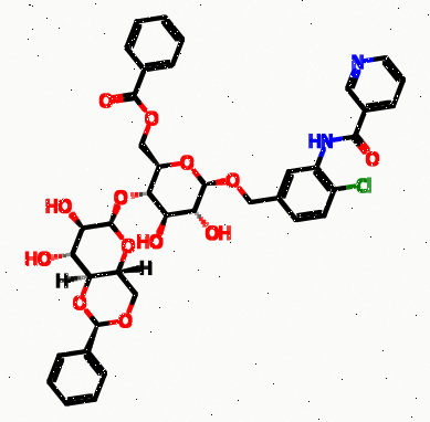 O=C(Nc1cc(CO[C@@H]2O[C@H](COC(=O)c3ccccc3)[C@@H](O[C@H]3O[C@@H]4CO[C@@H](c5ccccc5)O[C@H]4[C@H](O)[C@H]3O)[C@H](O)[C@H]2O)ccc1Cl)c1cccnc1